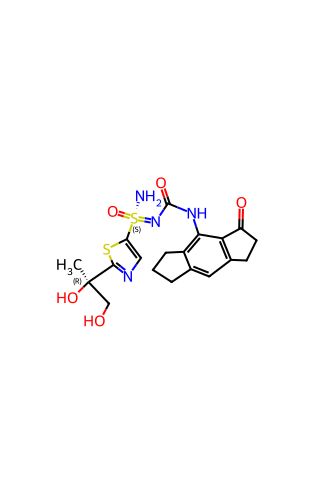 C[C@@](O)(CO)c1ncc([S@@](N)(=O)=NC(=O)Nc2c3c(cc4c2C(=O)CC4)CCC3)s1